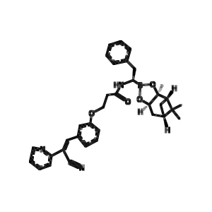 CC1(C)[C@@H]2C[C@H]3OB([C@H](Cc4ccccc4)NC(=O)CCOc4cccc(/C=C(\C#N)c5ccccn5)c4)O[C@@]3(C)[C@H]1C2